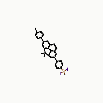 Cc1ccc(-c2cc3c4c(ccc5cc(-c6ccc(S(C)(I)I)cc6)cc(c54)C3(C)C)c2)cc1